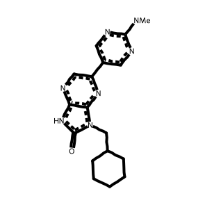 CNc1ncc(-c2cnc3[nH]c(=O)n(CC4CCCCC4)c3n2)cn1